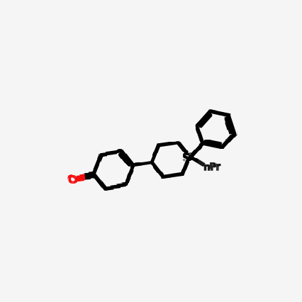 CCC[Si]1(c2ccccc2)CCC(C2=CCC(=O)CC2)CC1